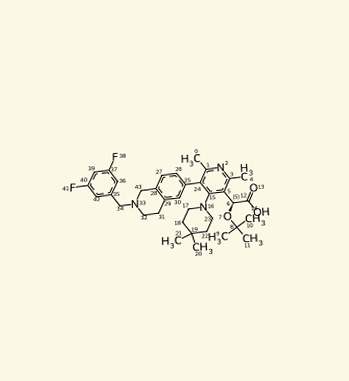 Cc1nc(C)c([C@H](OC(C)(C)C)C(=O)O)c(N2CCC(C)(C)CC2)c1-c1ccc2c(c1)CCN(Cc1cc(F)cc(F)c1)C2